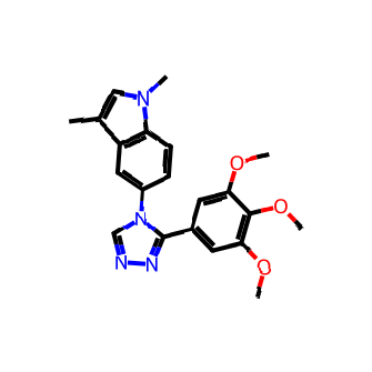 COc1cc(-c2nncn2-c2ccc3c(c2)c(C)cn3C)cc(OC)c1OC